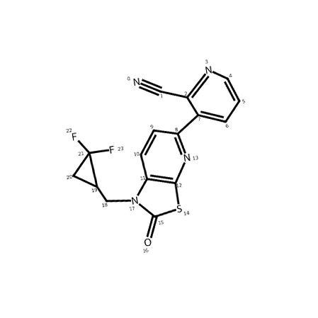 N#Cc1ncccc1-c1ccc2c(n1)sc(=O)n2CC1CC1(F)F